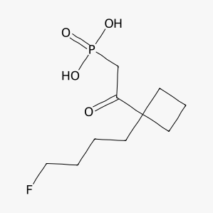 O=C(CP(=O)(O)O)C1(CCCCF)CCC1